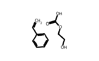 C=Cc1ccccc1.O=C(O)OCCO